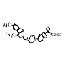 COC(=O)c1cc2cc(N3CCN(CCCC(C)C4=CCc5ccc(C#N)cc54)CC3)ccc2o1